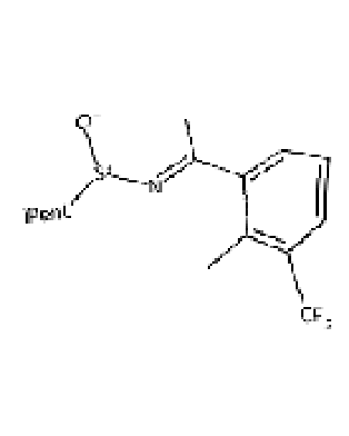 CCCC(C)[S+]([O-])N=C(C)c1cccc(C(F)(F)F)c1C